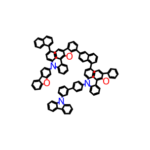 c1cc(-c2ccc(N(c3ccc(-c4cccc5cc(-c6cccc7c6oc6c(-c8ccccc8N(c8ccc(-c9cccc%10ccccc9%10)cc8)c8ccc9c(c8)oc8ccccc89)cccc67)ccc45)cc3)c3ccccc3-c3cccc4c3oc3ccccc34)cc2)cc(-n2c3ccccc3c3ccccc32)c1